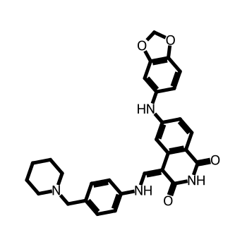 O=C1NC(=O)c2ccc(Nc3ccc4c(c3)OCO4)cc2/C1=C/Nc1ccc(CN2CCCCC2)cc1